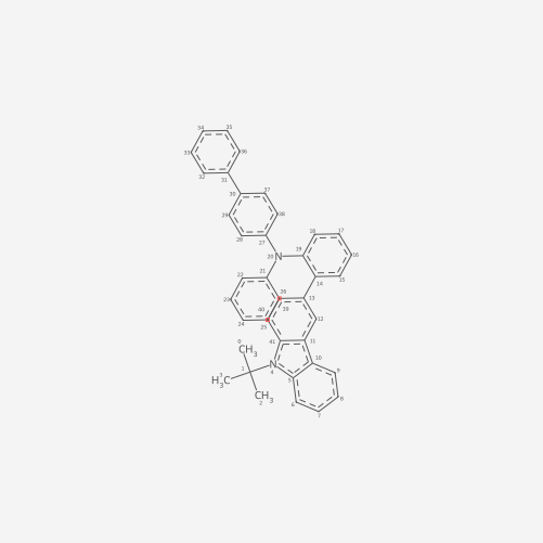 CC(C)(C)n1c2ccccc2c2cc(-c3ccccc3N(c3ccccc3)c3ccc(-c4ccccc4)cc3)ccc21